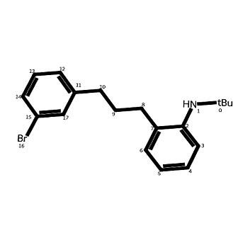 CC(C)(C)Nc1ccccc1CCCc1cccc(Br)c1